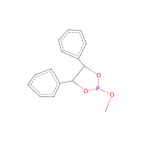 COP1OC(c2ccccc2)C(c2ccccc2)O1